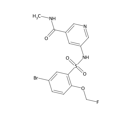 CNC(=O)c1cncc(NS(=O)(=O)c2cc(Br)ccc2OCF)c1